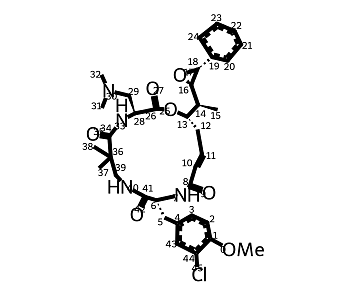 COc1ccc(C[C@H]2NC(=O)/C=C/C[C@@H]([C@H](C)[C@H]3O[C@@H]3c3ccccc3)OC(=O)[C@H](CN(C)C)NC(=O)C(C)(C)CNC2=O)cc1Cl